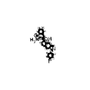 C[C@]12Cc3cnn(-c4ccc(F)cc4)c3C=C1CC[C@@]2(O)/C=C/c1ccccc1S(N)(=O)=O